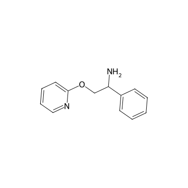 NC(COc1ccccn1)c1ccccc1